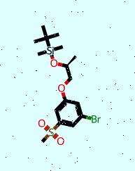 C[C@@H](COc1cc(Br)cc(S(C)(=O)=O)c1)O[Si](C)(C)C(C)(C)C